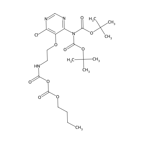 CCCCOC(=O)OC(=O)NCCOc1c(Cl)ncnc1N(C(=O)OC(C)(C)C)C(=O)OC(C)(C)C